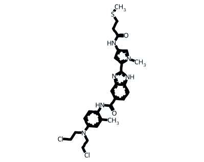 CSCCC(=O)Nc1cc(-c2nc3cc(C(=O)Nc4ccc(N(CCCl)CCCl)cc4C)ccc3[nH]2)n(C)c1